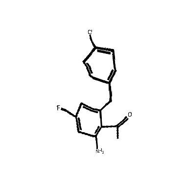 CC(=O)c1c(N)cc(F)cc1Cc1ccc(Cl)cc1